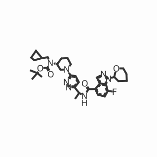 CC(NC(=O)c1ccc(F)c2c1cnn2C1CCCCO1)c1ccc(N2CCC[C@@H](N(CC3CCC3)C(=O)OC(C)(C)C)C2)nn1